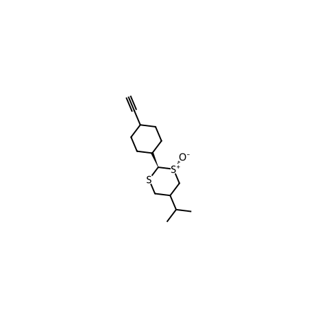 C#CC1CCC([C@@H]2SCC(C(C)C)C[S@@+]2[O-])CC1